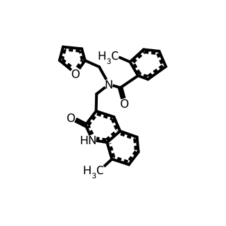 Cc1ccccc1C(=O)N(Cc1ccco1)Cc1cc2cccc(C)c2[nH]c1=O